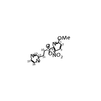 COc1ccc([N+](=O)[O-])c(S(=O)(=O)CCc2cnccn2)n1